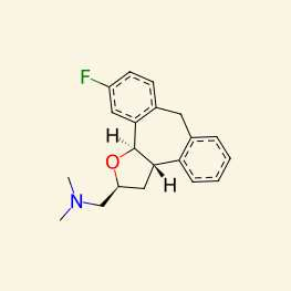 CN(C)C[C@@H]1C[C@H]2c3ccccc3Cc3ccc(F)cc3[C@@H]2O1